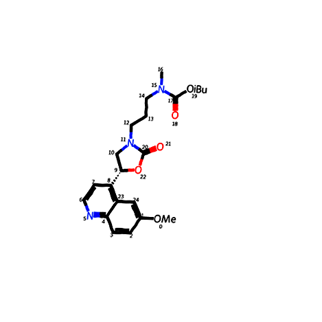 COc1ccc2nccc([C@@H]3CN(CCCN(C)C(=O)OCC(C)C)C(=O)O3)c2c1